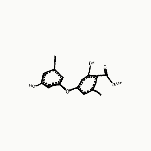 COC(=O)c1c(C)cc(Oc2cc(C)cc(O)c2)cc1O